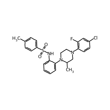 Cc1ccc(S(=O)(=O)Nc2ccccc2N2CCN(c3ccc(Cl)cc3F)CC2C)cc1